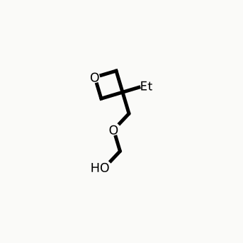 CCC1(COCO)COC1